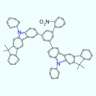 CC1(C)c2ccccc2-c2cc3c4cc(-c5cc(-c6ccc7c(c6)c6cc8c(cc6n7-c6ccccc6)C(C)(C)c6ccccc6-8)cc(-c6ccccc6[N+](=O)[O-])c5)ccc4n(-c4ccccc4)c3cc21